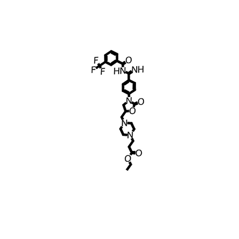 CCOC(=O)CCN1CCN(CC2CN(c3ccc(C(=N)NC(=O)c4cccc(C(F)(F)F)c4)cc3)C(=O)O2)CC1